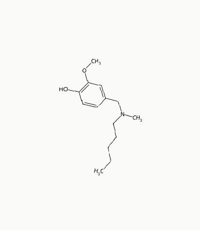 CCCCCN(C)Cc1ccc(O)c(OC)c1